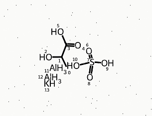 CC(O)C(=O)O.O=S(=O)(O)O.[AlH3].[AlH3].[KH]